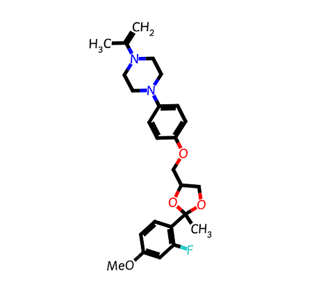 C=C(C)N1CCN(c2ccc(OCC3COC(C)(c4ccc(OC)cc4F)O3)cc2)CC1